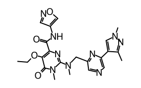 CCOc1c(C(=O)Nc2cnoc2)nc(N(C)Cc2cncc(-c3cn(C)nc3C)n2)n(C)c1=O